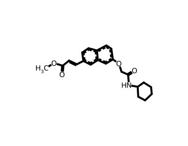 COC(=O)/C=C/c1ccc2ccc(OCC(=O)NC3CCCCC3)cc2c1